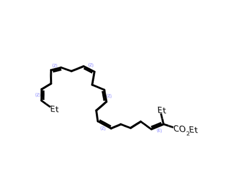 CC/C=C\C/C=C\C/C=C\C/C=C\C/C=C\CCC/C=C(\CC)C(=O)OCC